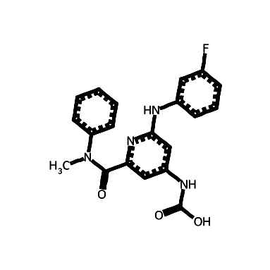 CN(C(=O)c1cc(NC(=O)O)cc(Nc2cccc(F)c2)n1)c1ccccc1